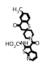 Cc1ccc2c(c1)C(=O)CC1(CCN(C(=O)c3c(NC(=O)O)sc4ncccc34)CC1)S2